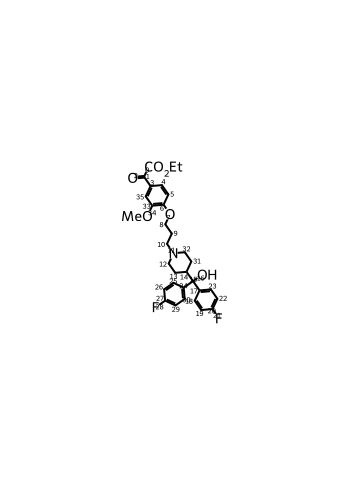 CCOC(=O)C(=O)c1ccc(OCCCN2CCC(C(O)(c3ccc(F)cc3)c3ccc(F)cc3)CC2)c(OC)c1